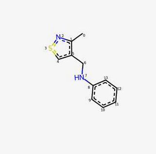 Cc1nscc1CNc1ccccc1